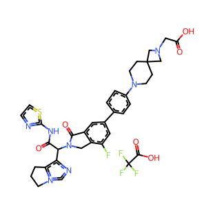 O=C(O)C(F)(F)F.O=C(O)CN1CC2(CCN(c3ccc(-c4cc(F)c5c(c4)C(=O)N(C(C(=O)Nc4nccs4)c4ncn6c4CCC6)C5)cc3)CC2)C1